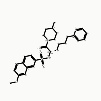 COc1ccc2ccc(S(=O)(=O)N[C@@H](CCCCc3ccccn3)C(=O)N3CCC(C)CC3)cc2c1